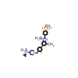 Cc1cc(-c2ccc(CN3CCC(N(C)C4CC4)CC3)c(F)c2)cc2c1nc(-c1ccc(S(C)(=O)=O)cc1)n2C